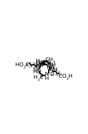 CC1CNC[C@]2(NC(=O)CCCC(=O)O)CNCC(C)CNC[C@](NC(=O)CCCC(=O)O)(CNC1)N[C@H](C)CN2